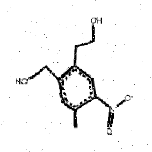 Cc1cc(CO)c(CCO)cc1[N+](=O)[O-]